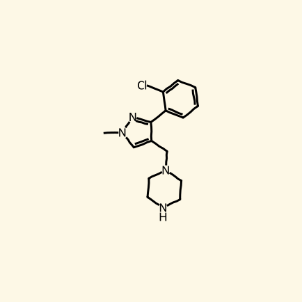 Cn1cc(CN2CCNCC2)c(-c2ccccc2Cl)n1